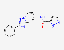 Cn1nccc1C(=O)Nc1ccn2nc(-c3ccccc3)nc2c1